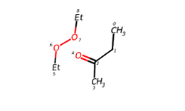 CCC(C)=O.CCOOCC